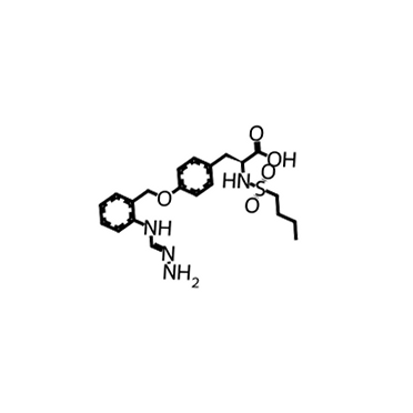 CCCCS(=O)(=O)N[C@@H](Cc1ccc(OCc2ccccc2NC=NN)cc1)C(=O)O